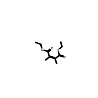 CCOC(=O)C(C)=C(C)C(=O)OCC